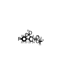 COC(=O)[C@H]1CN(C(=O)OC(C)(C)C)CC[C@H]1c1ccc(F)cc1